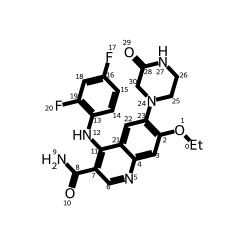 CCOc1cc2ncc(C(N)=O)c(Nc3ccc(F)cc3F)c2cc1N1CCNC(=O)C1